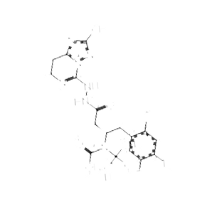 Cc1nc2n(n1)C(NNC(=O)C[C@@H](Cc1cc(F)c(F)cc1F)N(C(=O)O)C(C)(C)C)=NCC2